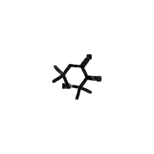 CC1(C)CC(=O)C(=O)C(C)(C)N1